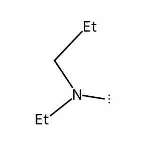 [C]N(CC)CCC